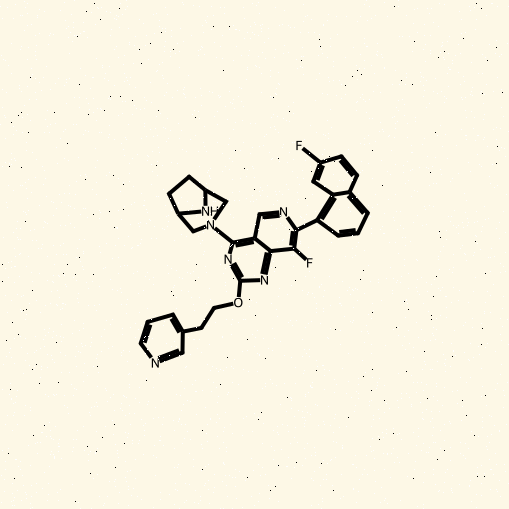 Fc1ccc2cccc(-c3ncc4c(N5CC6CCC(C5)N6)nc(OCCc5cccnc5)nc4c3F)c2c1